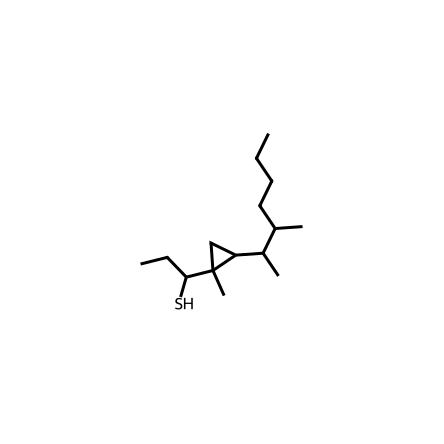 CCCCC(C)C(C)C1CC1(C)C(S)CC